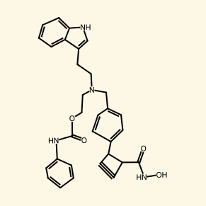 O=C(Nc1ccccc1)OCCN(CCc1c[nH]c2ccccc12)Cc1ccc(C2C#CC2C(=O)NO)cc1